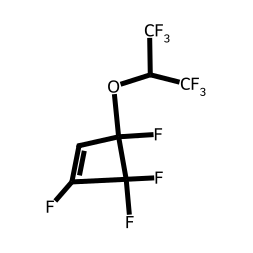 FC1=CC(F)(OC(C(F)(F)F)C(F)(F)F)C1(F)F